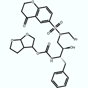 CC(C)CN(C[C@@H](O)[C@H](Cc1ccccc1)NC(=O)OC1COC2OCCC12)S(=O)(=O)c1ccc2c(c1)C(=O)CCO2